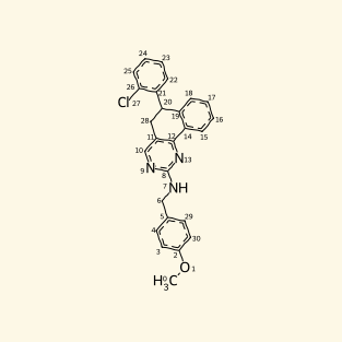 COc1ccc(CNc2ncc3c(n2)-c2ccccc2C(c2ccccc2Cl)C3)cc1